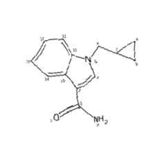 NC(=O)c1cn(CC2CC2)c2ccccc12